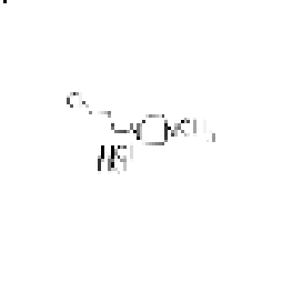 CN1CCN(CCCCl)CC1.Cl.Cl